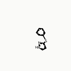 c1ccc(Sc2cc[nH]n2)cc1